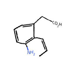 C/C=C\c1c(N)cccc1CC(=O)O